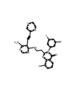 Nc1ncnc(NCCc2nc3c(F)cccc3c(=O)n2-c2cc(F)cc(F)c2)c1C#Cc1cnccn1